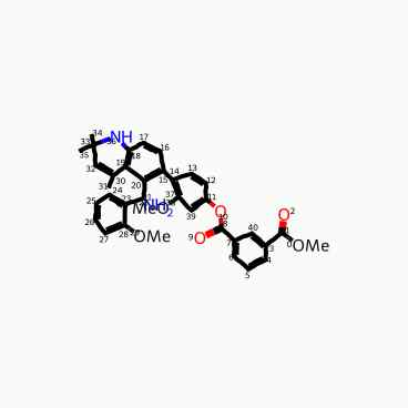 COC(=O)c1cccc(C(=O)Oc2ccc(-c3ccc4c(c3C(N)c3ccccc3OC)C(C)=CC(C)(C)N4)c(OC)c2)c1